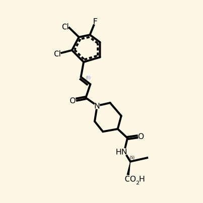 C[C@H](NC(=O)C1CCN(C(=O)/C=C/c2ccc(F)c(Cl)c2Cl)CC1)C(=O)O